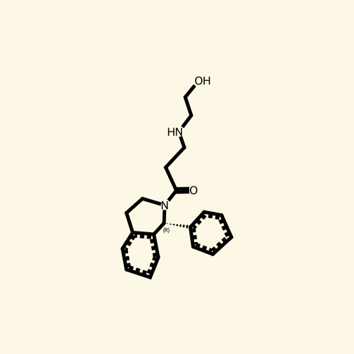 O=C(CCNCCO)N1CCc2ccccc2[C@H]1c1ccccc1